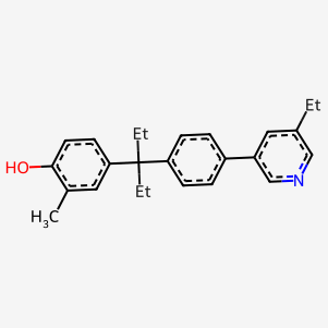 CCc1cncc(-c2ccc(C(CC)(CC)c3ccc(O)c(C)c3)cc2)c1